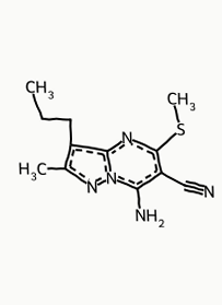 CCCc1c(C)nn2c(N)c(C#N)c(SC)nc12